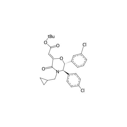 CC(C)(C)OC(=O)/C=C1\O[C@H](c2cccc(Cl)c2)[C@@H](c2ccc(Cl)cc2)N(CC2CC2)C1=O